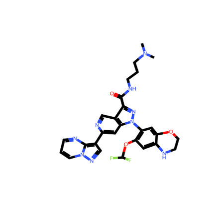 CN(C)CCCNC(=O)c1nn(-c2cc3c(cc2OC(F)F)NCCO3)c2cc(-c3cnn4cccnc34)ncc12